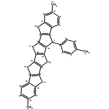 Cc1ccc(-n2c3c4ccc(C)cc4oc3c3sc4c(oc5c6sc7cc(C)ccc7c6sc54)c32)cc1